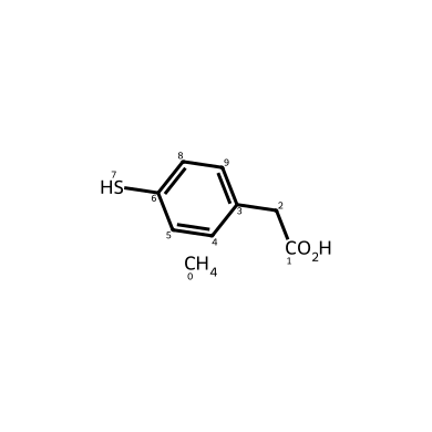 C.O=C(O)Cc1ccc(S)cc1